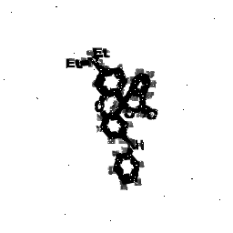 CCN(CC)c1ccc2c(c1)Oc1ccc(Nc3ccccc3)cc1C21OC(=O)c2ccccc21